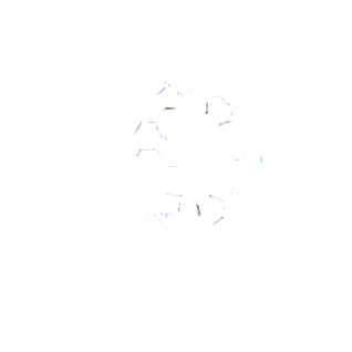 Cl.Cl.NC[C@]1(c2cccc(Cl)c2)CC[C@H](n2nc(-c3cnn(Cc4ccccc4)c3)ccc2=O)CC1